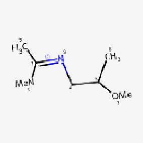 CN/C(C)=N\CC(C)OC